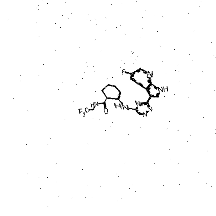 O=C(NCC(F)(F)F)[C@H]1CCCC[C@H]1Nc1cnnc(-c2c[nH]c3ncc(F)cc23)n1